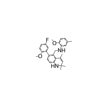 COc1ccc(C)cc1NCc1c(-c2cc(F)ccc2OC)ccc2c1C(C)=CC(C)(C)N2